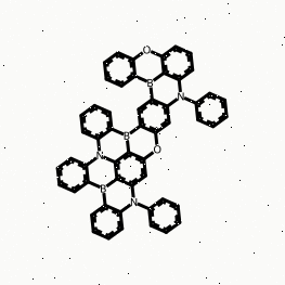 c1ccc(N2c3cc4c(cc3B3c5ccccc5Oc5cccc2c53)B2c3ccccc3N3c5ccccc5B5c6ccccc6N(c6ccccc6)c6cc(c2c3c65)O4)cc1